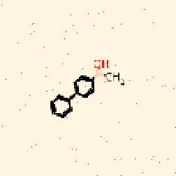 CB(O)c1ccc(-c2ccccc2)cc1